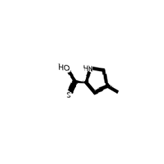 CC1CN[C@H](C(O)=S)C1